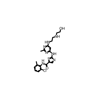 Cc1nc(NCCNCCO)cc(Nc2ncc(C(=O)Nc3c(C)cccc3Cl)s2)n1